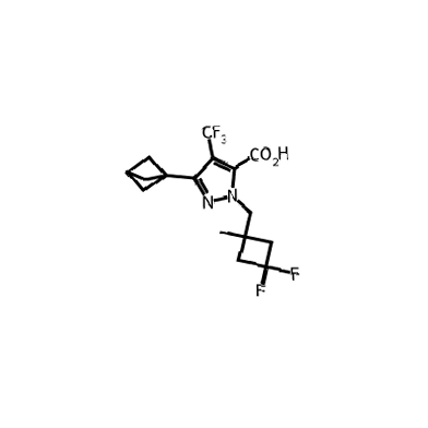 CC1(Cn2nc(C34CC(C3)C4)c(C(F)(F)F)c2C(=O)O)CC(F)(F)C1